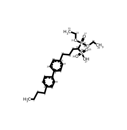 CCCCc1ccc(-c2ccc(CCCC(P(=O)(OCC)OCC)S(=O)(=O)O)cc2)cc1